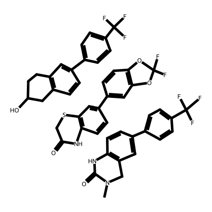 CN1Cc2cc(-c3ccc(C(F)(F)F)cc3)ccc2NC1=O.O=C1CSc2cc(-c3ccc4c(c3)OC(F)(F)O4)ccc2N1.OC1CCc2cc(-c3ccc(C(F)(F)F)cc3)ccc2C1